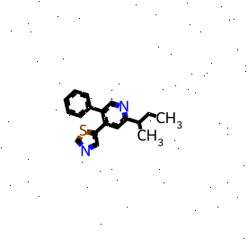 CCC(C)c1cc(-c2cncs2)c(-c2ccccc2)[c]n1